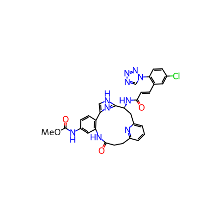 COC(=O)Nc1ccc2c(c1)NC(=O)CCc1cccc(n1)C[C@H](NC(=O)/C=C/c1cc(Cl)ccc1-n1cnnn1)c1nc-2c[nH]1